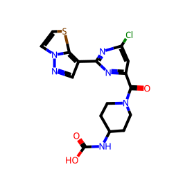 O=C(O)NC1CCN(C(=O)c2cc(Cl)nc(-c3cnn4ccsc34)n2)CC1